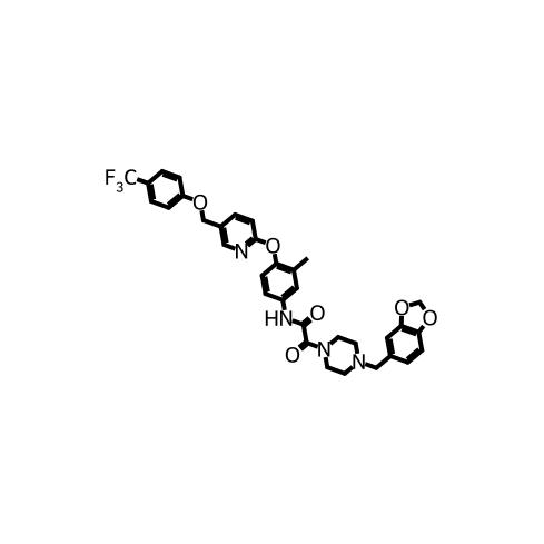 Cc1cc(NC(=O)C(=O)N2CCN(Cc3ccc4c(c3)OCO4)CC2)ccc1Oc1ccc(COc2ccc(C(F)(F)F)cc2)cn1